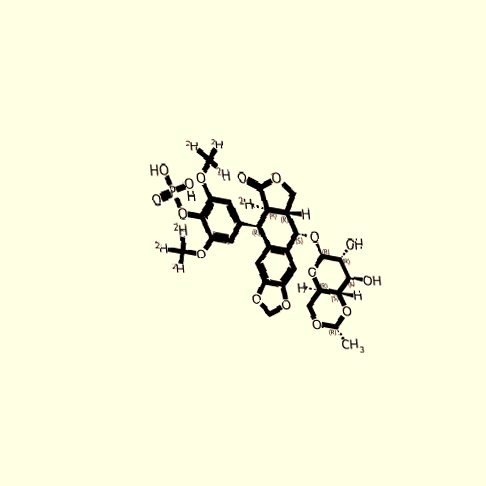 [2H]C([2H])([2H])Oc1cc([C@@H]2c3cc4c(cc3[C@@H](O[C@@H]3O[C@@H]5CO[C@@H](C)O[C@H]5[C@H](O)[C@H]3O)[C@H]3COC(=O)[C@]23[2H])OCO4)cc(OC([2H])([2H])[2H])c1OP(=O)(O)O